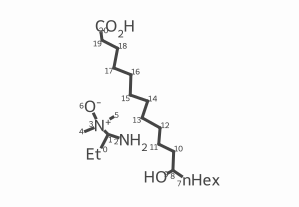 CCC(N)[N+](C)(C)[O-].CCCCCCC(O)CCCCCCCCCCC(=O)O